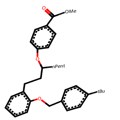 CCCCCC(CCc1ccccc1OCc1ccc(C(C)(C)C)cc1)Oc1ccc(C(=O)OC)cc1